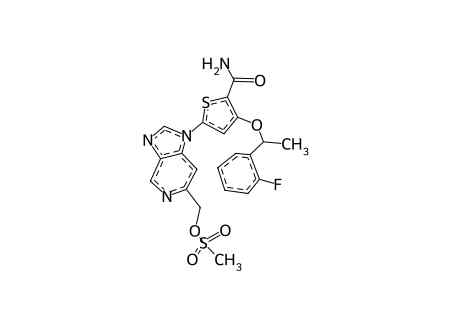 CC(Oc1cc(-n2cnc3cnc(COS(C)(=O)=O)cc32)sc1C(N)=O)c1ccccc1F